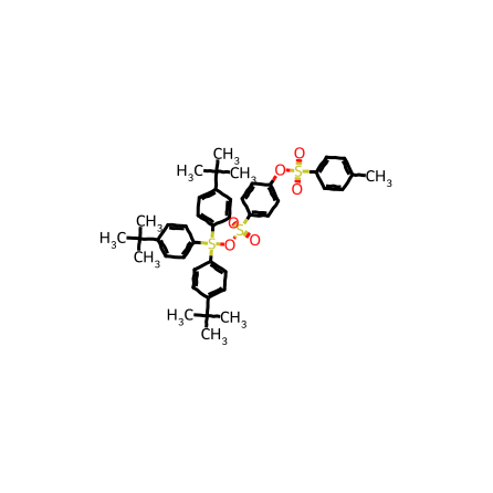 Cc1ccc(S(=O)(=O)Oc2ccc(S(=O)(=O)OS(c3ccc(C(C)(C)C)cc3)(c3ccc(C(C)(C)C)cc3)c3ccc(C(C)(C)C)cc3)cc2)cc1